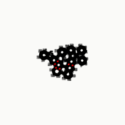 c1ccc(C2(c3ccccc3)c3ccccc3-c3c(N(c4ccccc4-c4cccc5c4sc4ccccc45)c4ccccc4-c4cccc5cccc(C6CCCCC6)c45)cccc32)cc1